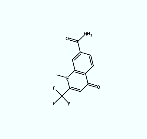 Cn1c(C(F)(F)F)cc(=O)c2ccc(C(N)=O)cc21